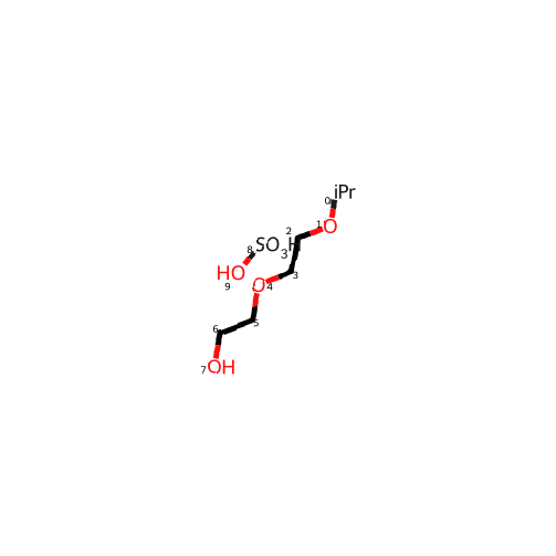 CC(C)OCCOCCO.O=S(=O)(O)O